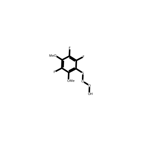 COc1c(F)c(F)c(SOOO)c(OC)c1F